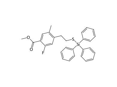 COC(=O)c1cc(C)c(CCS[Si](c2ccccc2)(c2ccccc2)c2ccccc2)cc1F